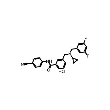 Cl.N#Cc1ccc(NC(=O)c2cccc(CN(Cc3cc(F)cc(F)c3)C3CC3)c2)cc1